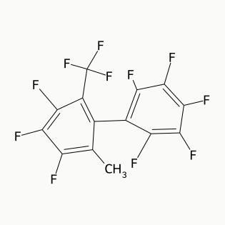 Cc1c(F)c(F)c(F)c(C(F)(F)F)c1-c1c(F)c(F)c(F)c(F)c1F